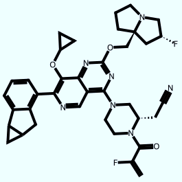 C=C(F)C(=O)N1CCN(c2nc(OC[C@@]34CCCN3C[C@H](F)C4)nc3c(OC4CC4)c(-c4cccc5c4CC4CC54)ncc23)C[C@@H]1CC#N